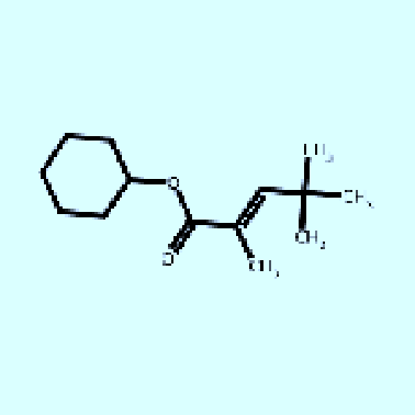 CC(=CC(C)(C)C)C(=O)OC1CCCCC1